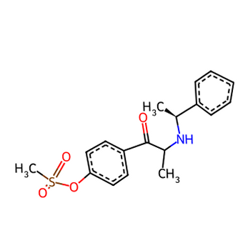 CC(N[C@@H](C)c1ccccc1)C(=O)c1ccc(OS(C)(=O)=O)cc1